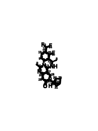 Cc1nc(N[C@H](C)c2cccc(C(F)F)c2F)c2cn([C@H]3CC4CC3C4)c(=O)cc2n1